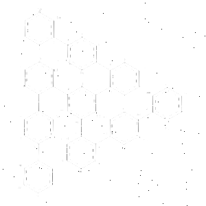 c1ccc(-c2ccc(-c3ccccc3-c3cc(-c4ccccc4-c4ccc(-c5ccccc5)nc4)cc(-c4ccccc4-c4ccc(-c5ccccn5)nc4)c3)cn2)cc1